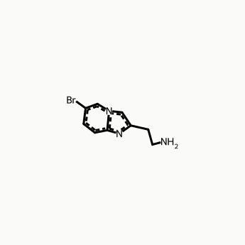 NCCc1cn2cc(Br)ccc2n1